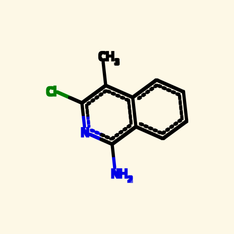 Cc1c(Cl)nc(N)c2ccccc12